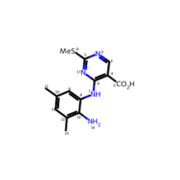 CSc1ncc(C(=O)O)c(Nc2cc(C)cc(C)c2N)n1